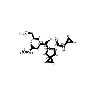 CCCC[C@H](CC(=O)NO)C(=O)N1CC2(CC2)C[C@H]1C(=O)NC1CC1